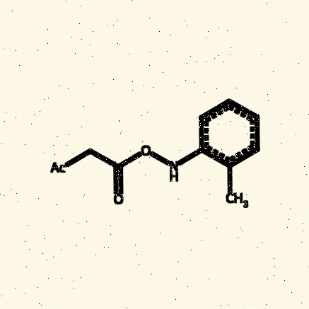 CC(=O)CC(=O)ONc1ccccc1C